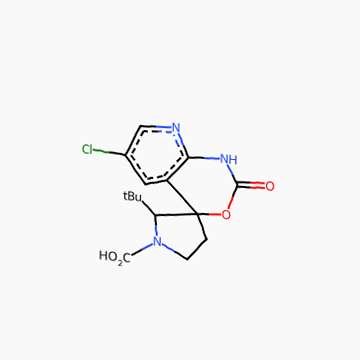 CC(C)(C)C1N(C(=O)O)CCC12OC(=O)Nc1ncc(Cl)cc12